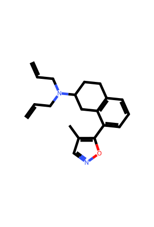 C=CCN(CC=C)C1CCc2cccc(-c3oncc3C)c2C1